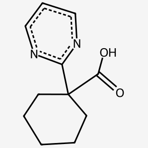 O=C(O)C1(c2ncccn2)CCCCC1